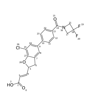 O=C(O)/C=C/C1Cc2cc(-c3ccc(C(=O)N4CC(F)(F)C4)cc3)cc(Cl)c2O1